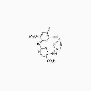 COc1cc(F)c([N+](=O)[O-])cc1Nc1ncc(C(=O)O)c(Nc2ccccc2)n1